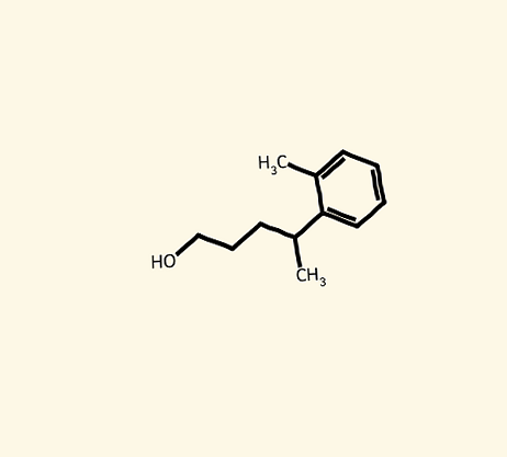 Cc1ccccc1C(C)CCCO